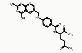 CC(=O)CCC(NC(=O)c1ccc(NCc2cnc3nc(N)nc(O)c3n2)cc1)C(C)=O